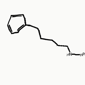 CCCNC[CH]CCCc1ccccc1